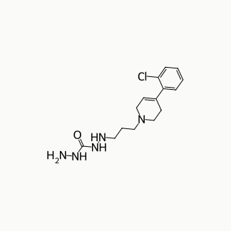 NNC(=O)NNCCCN1CC=C(c2ccccc2Cl)CC1